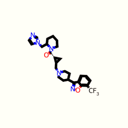 O=C([C@@H]1CC1CN1CCC(c2noc3c(C(F)(F)F)cccc23)CC1)N1CCCCC1Cn1ccnc1